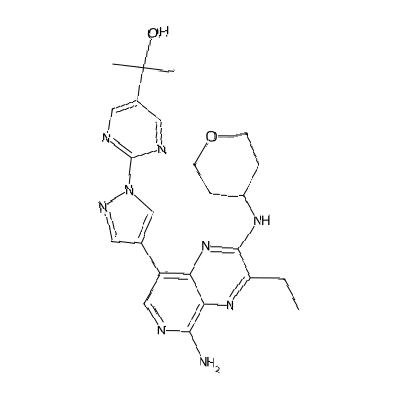 CCc1nc2c(N)ncc(-c3cnn(-c4ncc(C(C)(C)O)cn4)c3)c2nc1NC1CCOCC1